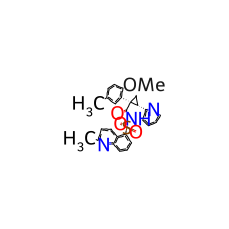 COc1ccc(C)cc1[C@]1(C(=O)NS(=O)(=O)c2cccc3nc(C)ccc23)C[C@@H]1c1ccccn1